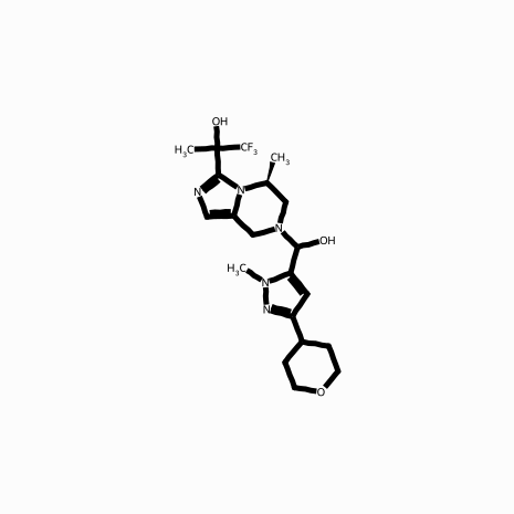 C[C@H]1CN(C(O)c2cc(C3CCOCC3)nn2C)Cc2cnc(C(C)(O)C(F)(F)F)n21